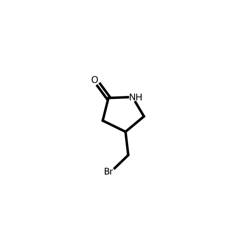 O=C1CC(CBr)CN1